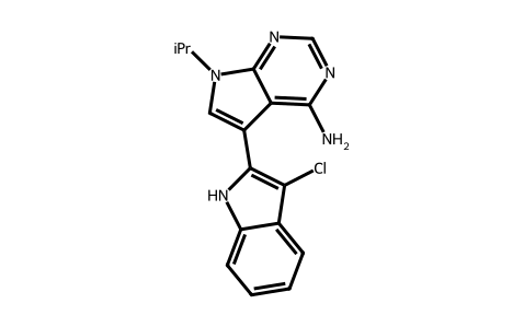 CC(C)n1cc(-c2[nH]c3ccccc3c2Cl)c2c(N)ncnc21